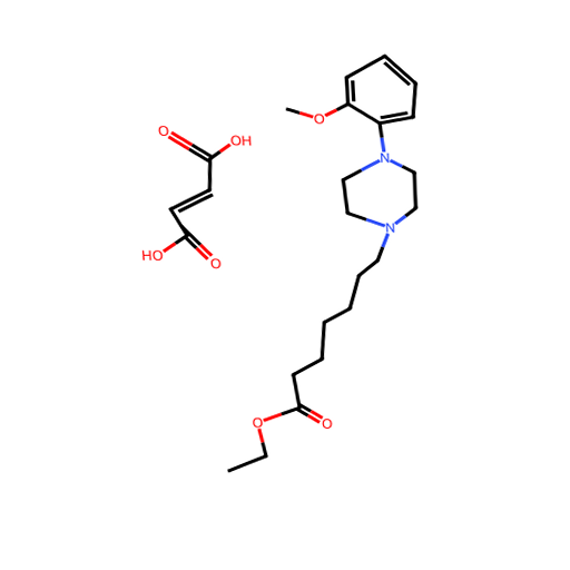 CCOC(=O)CCCCCCN1CCN(c2ccccc2OC)CC1.O=C(O)/C=C/C(=O)O